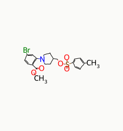 COC(=O)c1ccc(Br)cc1N1CCC(COS(=O)(=O)c2ccc(C)cc2)CC1